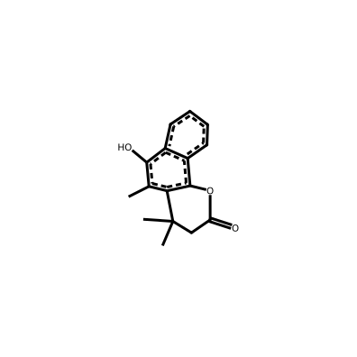 Cc1c2c(c3ccccc3c1O)OC(=O)CC2(C)C